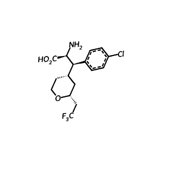 N[C@H](C(=O)O)[C@@H](c1ccc(Cl)cc1)[C@H]1CCO[C@@H](CC(F)(F)F)C1